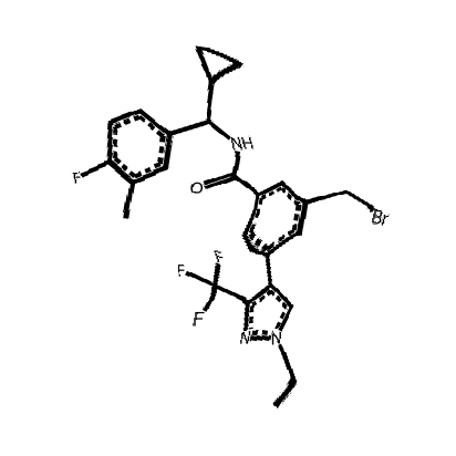 CCn1cc(-c2cc(CBr)cc(C(=O)NC(c3ccc(F)c(C)c3)C3CC3)c2)c(C(F)(F)F)n1